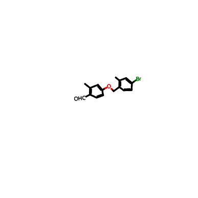 Cc1cc(OCc2ccc(Br)cc2C)ccc1C=O